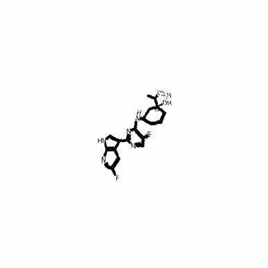 CC(C(=O)O)[C@]1(O)CCCC(Nc2nc(-c3c[nH]c4ncc(F)cc34)ncc2F)C1